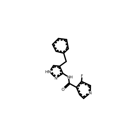 O=C(Nc1n[nH]cc1Cc1ccccc1)c1ccncc1F